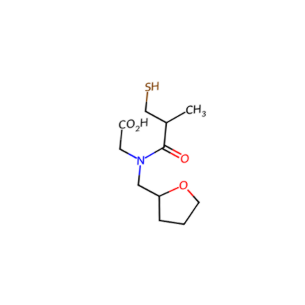 CC(CS)C(=O)N(CC(=O)O)CC1CCCO1